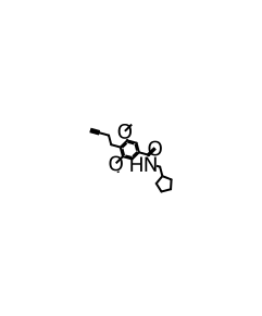 C#CCCc1c(OC)cc(C(=O)NCC2CCCC2)cc1OC